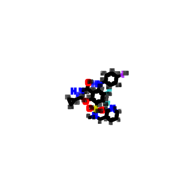 CN(Cc1cccnc1)S(=O)(=O)c1c(F)c(F)c(Nc2ccc(I)cc2)c(C(N)=O)c1OCC1CC1